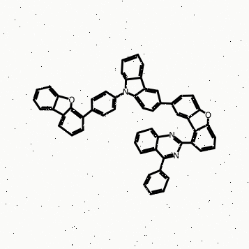 c1ccc(-c2nc(-c3cccc4oc5ccc(-c6ccc7c(c6)c6ccccc6n7-c6ccc(-c7cccc8c7oc7ccccc78)cc6)cc5c34)nc3ccccc23)cc1